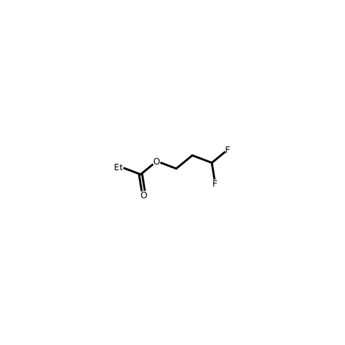 CCC(=O)OCCC(F)F